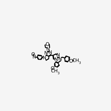 COc1ccc(CN(Cc2ccc(OC)cc2)c2ncc(-c3nc(N4CCOCC4)nc4c3CCN4c3ccc(N=O)cc3)cn2)cc1